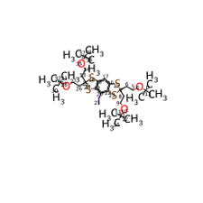 CC(C)(C)OCCC1(CCOC(C)(C)C)Sc2cc3c(c(I)c2S1)SC(CCOC(C)(C)C)(CCOC(C)(C)C)S3